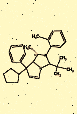 Cc1ccccc1N1C(C(C)(C)C)N2C=CC(c3ccccc3)(C3CCCC3)C2[C@@H]1C